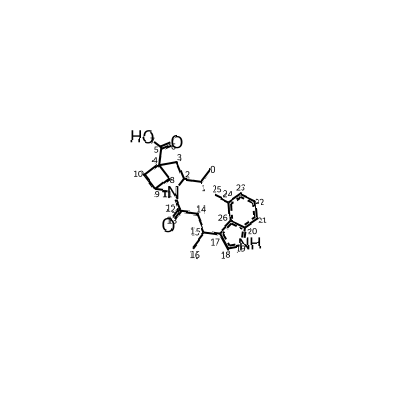 CCC1CC2(C(=O)O)CC(C2)N1C(=O)CC(C)c1c[nH]c2cccc(C)c12